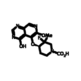 COc1ncc2ncnc(O)c2c1O[C@@H]1CCN(C(=O)O)CC1(F)F